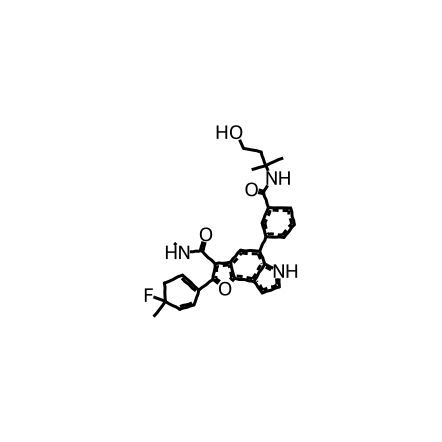 CNC(=O)c1c(C2=CCC(C)(F)C=C2)oc2c1cc(-c1cccc(C(=O)NC(C)(C)CCO)c1)c1[nH]ccc12